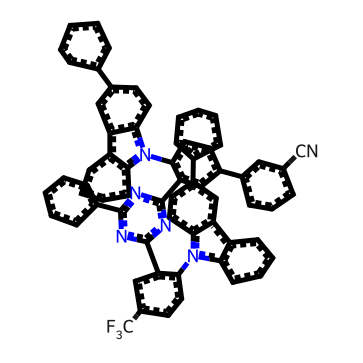 N#Cc1cccc(-c2ccc(-n3c4ccccc4c4cc(-c5ccccc5)ccc43)c(-c3nc(-c4ccccc4)nc(-c4cc(C(F)(F)F)ccc4-n4c5ccccc5c5cc(-c6ccccc6)ccc54)n3)c2)c1